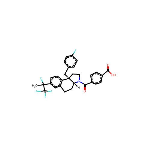 CC(F)(c1ccc2c(c1)CC[C@H]1N(C(=O)c3ccc(C(=O)O)cc3)CC[C@@]21Cc1ccc(F)cc1)C(F)(F)F